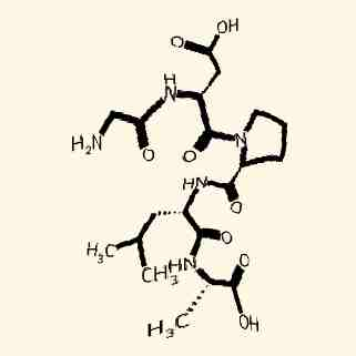 CC(C)C[C@H](NC(=O)[C@@H]1CCCN1C(=O)[C@H](CC(=O)O)NC(=O)CN)C(=O)N[C@@H](C)C(=O)O